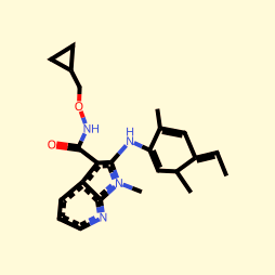 C/C=C1/C=C(C)C(Nc2c(C(=O)NOCC3CC3)c3cccnc3n2C)=CC1C